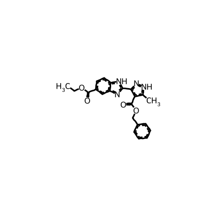 CCOC(=O)c1ccc2[nH]c(-c3n[nH]c(C)c3C(=O)OCc3ccccc3)nc2c1